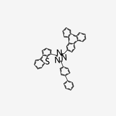 c1ccc(-c2ccc(-c3nc(-c4ccc5c6ccccc6c6ccccc6c5c4)nc(-c4cccc5c4sc4ccccc45)n3)cc2)cc1